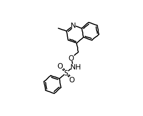 Cc1cc(CONS(=O)(=O)c2ccccc2)c2ccccc2n1